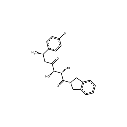 C[C@H](CC(=O)[C@H](O)[C@@H](O)C(=O)N1Cc2ccccc2C1)c1ccc(Br)cc1